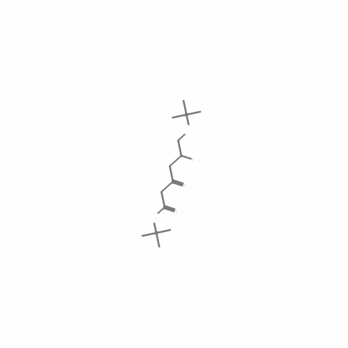 CC(C)(C)OCC(O)CC(=O)CC(=O)OC(C)(C)C